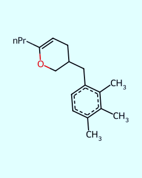 CCCC1=CCC(Cc2ccc(C)c(C)c2C)CO1